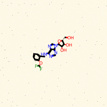 OC[C@H]1OC(n2cnc3c(NCc4ccccc4OC(F)F)ncnc32)[C@H](O)[C@@H]1O